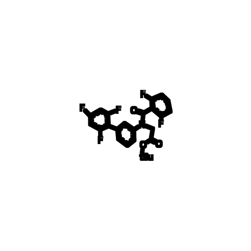 CC(C)(C)OC(=O)CN(C(=O)c1c(F)cccc1F)c1cccc(-c2c(F)cc(F)cc2F)c1